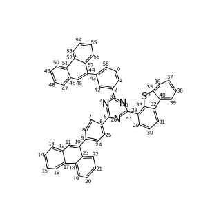 c1cc(-c2nc(-c3ccc(-c4cc5ccccc5c5ccccc45)cc3)nc(-c3cccc4c3sc3ccccc34)n2)cc(-c2cc3ccccc3c3ccccc23)c1